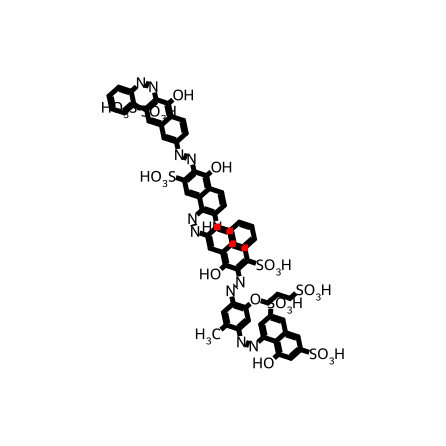 Cc1cc(N=Nc2c(S(=O)(=O)O)cc3ccc(/N=N\c4c(Nc5ccccc5)ccc5c(O)c(/N=N/c6ccc7c(O)c(/N=N\c8ccccc8S(=O)(=O)O)c(S(=O)(=O)O)cc7c6)c(S(=O)(=O)O)cc45)cc3c2O)c(OCCCS(=O)(=O)O)cc1/N=N\c1cc(S(=O)(=O)O)cc2cc(S(=O)(=O)O)cc(O)c12